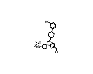 CS(=O)(=O)N[C@H]1CC[C@](COC2CCC(c3cccc(O)c3)CC2)(c2ncc(CO)o2)C1